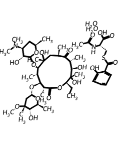 CC(=O)N[C@@H](CSC(=O)c1ccccc1O)C(=O)O.CC[C@H]1OC(=O)[C@H](C)[C@@H](O[C@H]2C[C@@](C)(OC)[C@@H](O)[C@H](C)O2)[C@H](C)[C@@H](OC2O[C@H](C)C[C@H](N(C)C)[C@H]2O)[C@](C)(O)C[C@@H](C)C(=O)[C@H](C)[C@@H](O)[C@]1(C)O.O.O